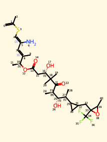 C=C(C)S/C=C(N)/C=C(\C)[C@H](C)OC(=O)C[C@H](O)C(C)(C)C(=O)[C@H](C)[C@@H](O)[C@@H](C)C1CC1CC1(C(F)(F)F)OC1C